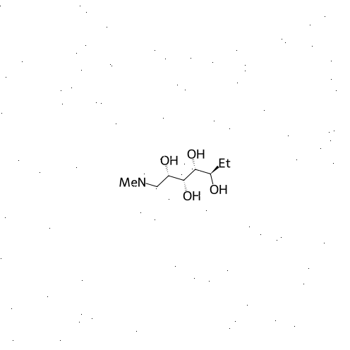 CC[C@@H](O)[C@@H](O)[C@H](O)[C@@H](O)CNC